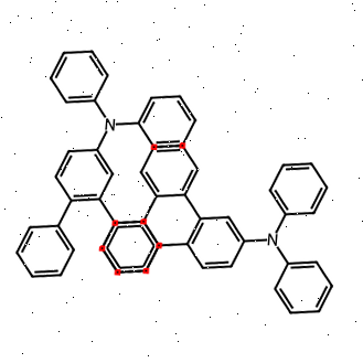 c1ccc(-c2ccc(N(c3ccccc3)c3ccccc3)cc2-c2ccccc2-c2ccccc2-c2cc(N(c3ccccc3)c3ccccc3)ccc2-c2ccccc2)cc1